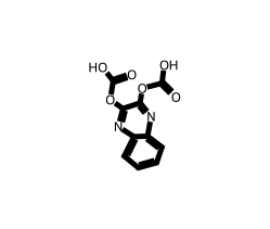 O=C(O)Oc1nc2ccccc2nc1OC(=O)O